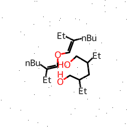 CCC(CO)CC(CC)CO.CCCCC(=COC=C(CC)CCCC)CC